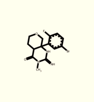 CN1C(=N)NC2(c3cc(Br)ccc3F)COCCC2C1=O